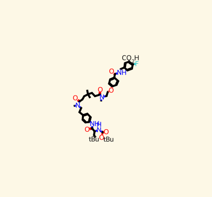 CN(CCOc1ccc(C(=O)NCc2ccc(F)c(C(=O)O)c2)cc1)C(=O)CCC(C)(C)CCC(=O)N(C)CCc1ccc(NC(=O)C(CC(C)(C)C)NC(=O)OC(C)(C)C)cc1